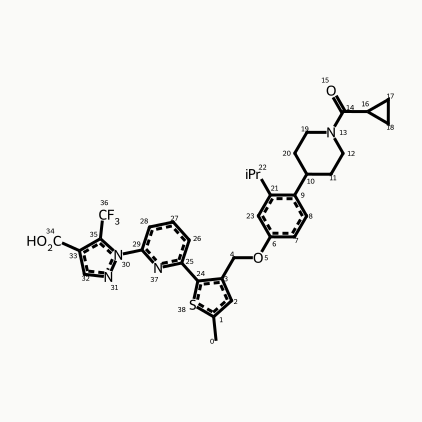 Cc1cc(COc2ccc(C3CCN(C(=O)C4CC4)CC3)c(C(C)C)c2)c(-c2cccc(-n3ncc(C(=O)O)c3C(F)(F)F)n2)s1